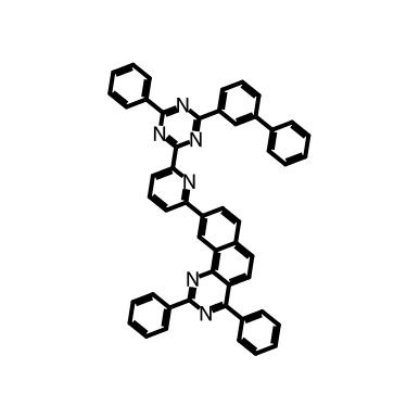 c1ccc(-c2cccc(-c3nc(-c4ccccc4)nc(-c4cccc(-c5ccc6ccc7c(-c8ccccc8)nc(-c8ccccc8)nc7c6c5)n4)n3)c2)cc1